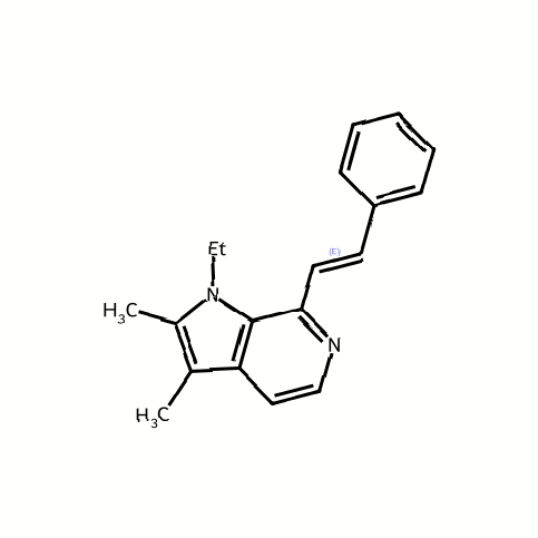 CCn1c(C)c(C)c2ccnc(/C=C/c3ccccc3)c21